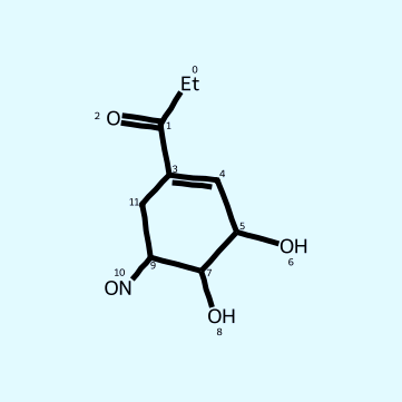 CCC(=O)C1=CC(O)C(O)C(N=O)C1